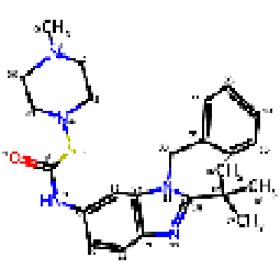 CN1CCN(SC(=O)Nc2ccc3nc(C(C)(C)C)n(Cc4ccccc4)c3c2)CC1